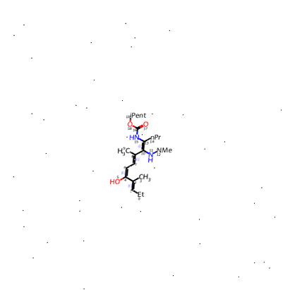 CC/C=C(C)/C(O)=C\C=C(C)\C(NNC)=C(\CCC)NC(=O)OC(C)CCC